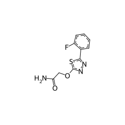 NC(=O)COc1nnc(-c2ccccc2F)s1